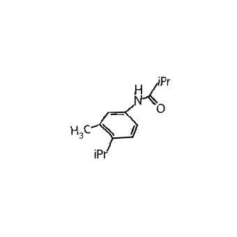 Cc1cc(NC(=O)C(C)C)ccc1C(C)C